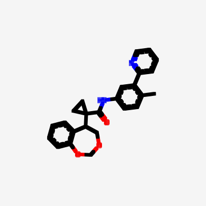 Cc1ccc(NC(=O)C2(C3COCOc4ccccc43)CC2)cc1-c1ccccn1